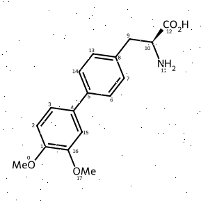 COc1ccc(-c2ccc(C[C@H](N)C(=O)O)cc2)cc1OC